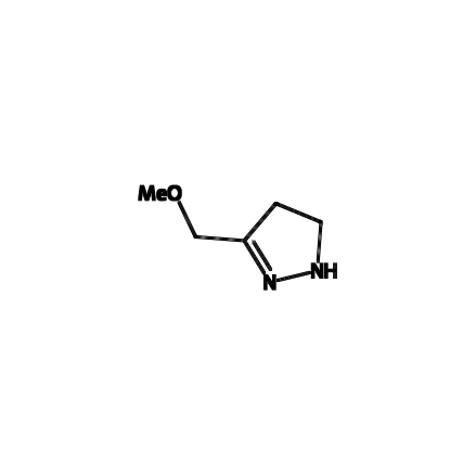 COCC1=NNCC1